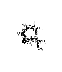 CCCCC(=O)N[C@H](CCN)C(=O)N[C@H]1CCNC(=O)[C@H](CC(C)C)NC(=O)[C@H](CCN)NC(=O)[C@H](CCN)NC(=O)[C@H](CC(C)C)NC(=O)[C@@H](Cc2ccccc2)NC(=O)[C@H](CCN)NC1=O